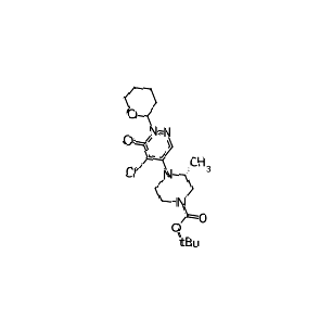 C[C@@H]1CN(C(=O)OC(C)(C)C)CCN1c1cnn(C2CCCCO2)c(=O)c1Cl